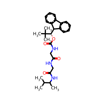 CC(C)C(C)NC(=O)CNC(=O)CNC(=O)O[C@@H](C1c2ccccc2-c2ccccc21)C(C)(C)C